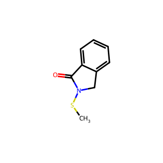 CSN1Cc2ccccc2C1=O